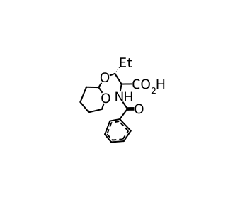 CC[C@@H](OC1CCCCO1)C(NC(=O)c1ccccc1)C(=O)O